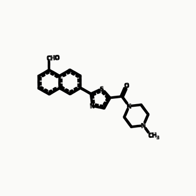 CN1CCN(C(=O)c2cnc(-c3ccc4c(C=O)cccc4c3)s2)CC1